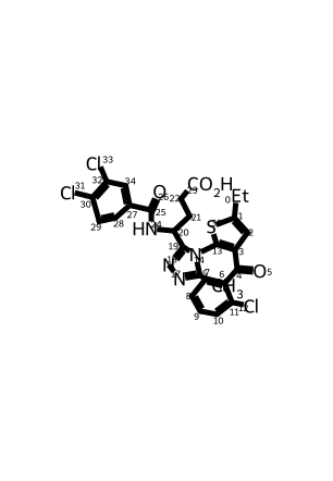 CCc1cc(C(=O)c2ccccc2Cl)c(-n2c(C)nnc2C(CCC(=O)O)NC(=O)c2ccc(Cl)c(Cl)c2)s1